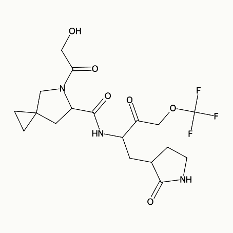 O=C1NCCC1CC(NC(=O)C1CC2(CC2)CN1C(=O)CO)C(=O)COC(F)(F)F